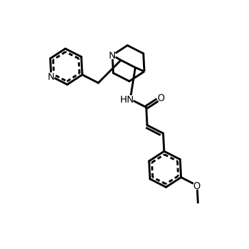 COc1cccc(C=CC(=O)NC2C3CCN(CC3)C2Cc2cccnc2)c1